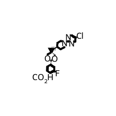 O=C(O)c1ccc([C@H]2OC[C@]3(CO2)C[C@H]3C2CCN(c3ncc(Cl)cn3)CC2)cc1F